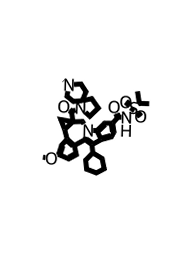 COc1ccc2c(c1)C1CC1(C(=O)N1CCCC13CCN(C)CC3)Cn1c-2c(C2CCCCC2)c2ccc(C(=O)NS(=O)(=O)C(C)C)cc21